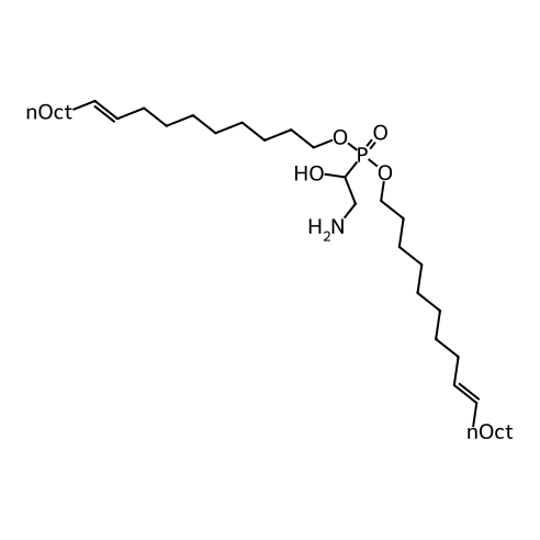 CCCCCCCCC=CCCCCCCCCOP(=O)(OCCCCCCCCC=CCCCCCCCC)C(O)CN